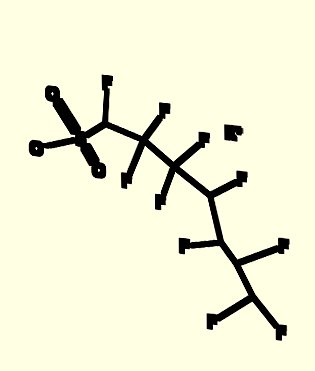 O=S(=O)([O-])C(F)C(F)(F)C(F)(F)C(F)C(F)C(F)C(F)F.[K+]